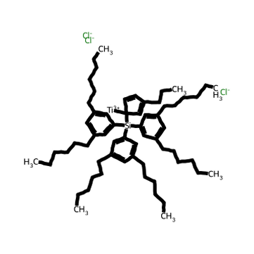 CCCCCCc1cc(CCCCCC)cc([Si](c2cc(CCCCCC)cc(CCCCCC)c2)(c2cc(CCCCCC)cc(CCCCCC)c2)[C]2([Ti+3])C=CC(CCC)=C2)c1.[Cl-].[Cl-].[Cl-]